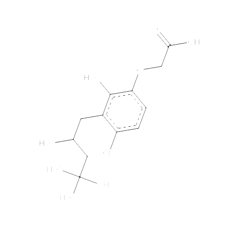 Cc1c(OCC(=O)O)ccc(Cl)c1CC(C)CC(C)(C)C